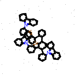 c1ccc(-c2ccc(-c3ccccc3-n3c4ccccc4c4ccccc43)c3c2sc2c(-n4c5ccccc5c5ccccc54)cccc23)c(-c2cccc3c2sc2c(-n4c5ccccc5c5ccccc54)cccc23)c1